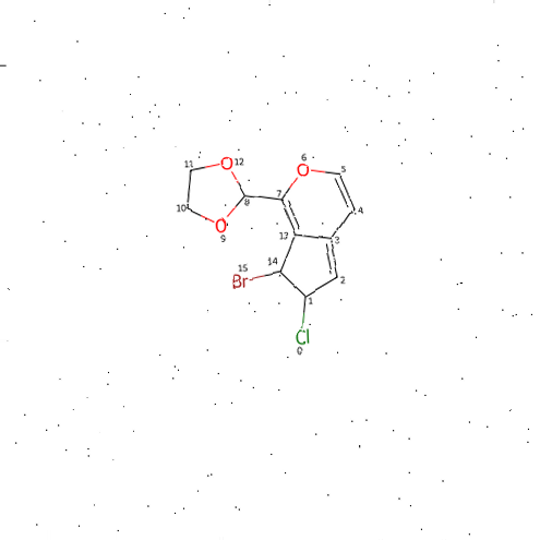 ClC1C=C2C=COC(C3OCCO3)=C2[C]1Br